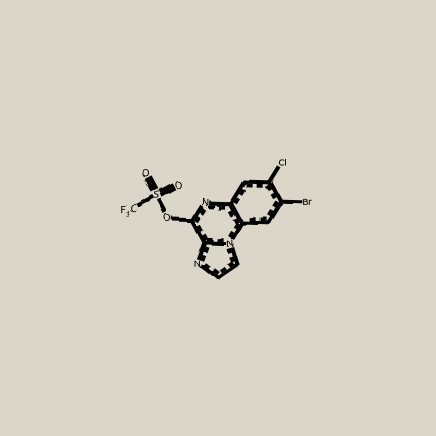 O=S(=O)(Oc1nc2cc(Cl)c(Br)cc2n2ccnc12)C(F)(F)F